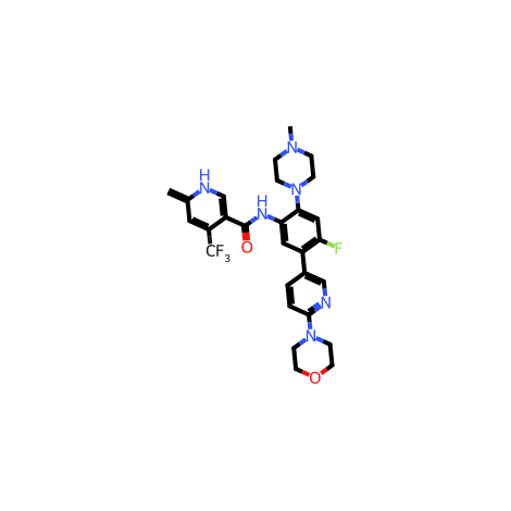 C=C1C=C(C(F)(F)F)C(C(=O)Nc2cc(-c3ccc(N4CCOCC4)nc3)c(F)cc2N2CCN(C)CC2)=CN1